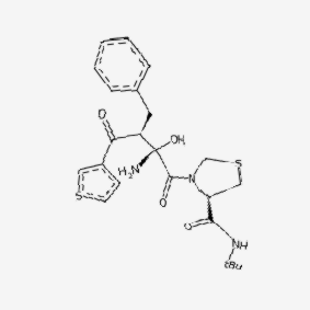 CC(C)(C)NC(=O)[C@@H]1CSCN1C(=O)[C@@](N)(O)[C@H](Cc1ccccc1)C(=O)c1ccsc1